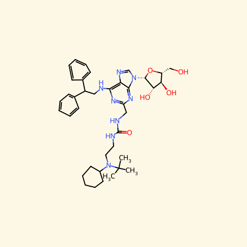 CC(C)(C)N(CCNC(=O)NCc1nc(NCC(c2ccccc2)c2ccccc2)c2ncn([C@@H]3O[C@H](CO)[C@@H](O)[C@@H]3O)c2n1)C1CCCCC1